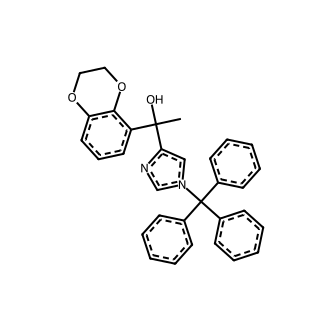 CC(O)(c1cn(C(c2ccccc2)(c2ccccc2)c2ccccc2)cn1)c1cccc2c1OCCO2